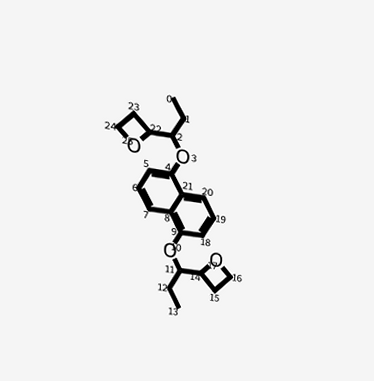 CCC(Oc1cccc2c(OC(CC)C3CCO3)cccc12)C1CCO1